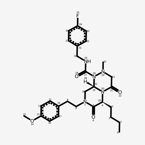 CCCC[C@H]1C(=O)N(CCc2ccc(OC)cc2)C[C@H]2N1C(=O)CN(C)N2C(=O)NCc1ccc(F)cc1